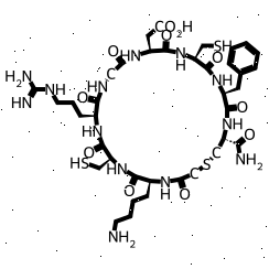 N=C(N)NCCC[C@@H]1NC(=O)[C@H](CS)NC(=O)[C@H](CCCCN)NC(=O)CSC[C@@H](C(N)=O)NC(=O)[C@H](Cc2ccccc2)NC(=O)[C@H](CS)NC(=O)[C@H](CC(=O)O)NC(=O)CNC1=O